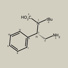 CC(C)(C)N(C(=O)O)[C@H](CN)c1ccccc1